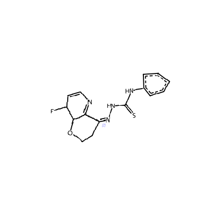 FC1C=CN=C2/C(=N\NC(=S)Nc3ccccc3)CCOC21